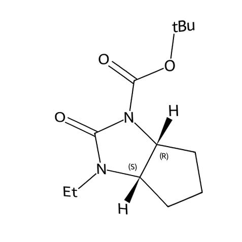 CCN1C(=O)N(C(=O)OC(C)(C)C)[C@@H]2CCC[C@@H]21